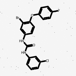 O=C(Nc1cccc(Cl)c1)Nc1ccc(Oc2ccc(F)cc2)c(Br)c1